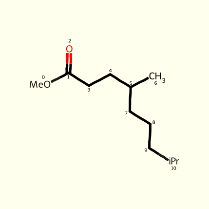 COC(=O)CCC(C)CCCC(C)C